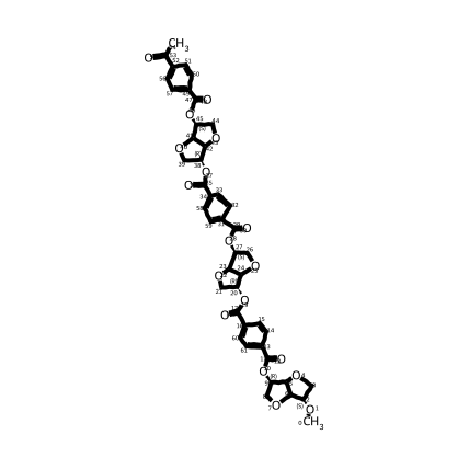 CO[C@H]1COC2C1OC[C@H]2OC(=O)c1ccc(C(=O)O[C@@H]2COC3C2OC[C@@H]3OC(=O)c2ccc(C(=O)O[C@@H]3COC4C3OC[C@@H]4OC(=O)c3ccc(C(C)=O)cc3)cc2)cc1